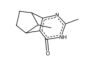 Cc1nc2c(c(=O)[nH]1)C1CCC2C1C